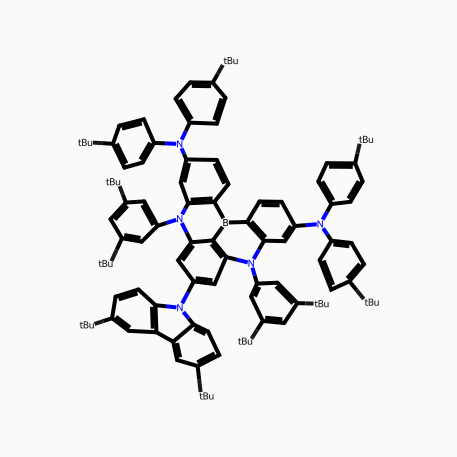 CC(C)(C)c1ccc(N(c2ccc(C(C)(C)C)cc2)c2ccc3c(c2)N(c2cc(C(C)(C)C)cc(C(C)(C)C)c2)c2cc(-n4c5ccc(C(C)(C)C)cc5c5cc(C(C)(C)C)ccc54)cc4c2B3c2ccc(N(c3ccc(C(C)(C)C)cc3)c3ccc(C(C)(C)C)cc3)cc2N4c2cc(C(C)(C)C)cc(C(C)(C)C)c2)cc1